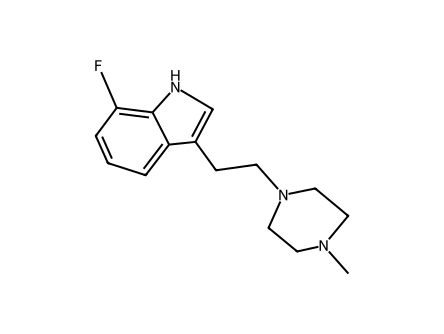 CN1CCN(CCc2c[nH]c3c(F)cccc23)CC1